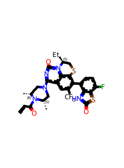 C=CC(=O)N1[C@H](C)CN(c2nc(=O)n3c4c(c(-c5ccc(F)c6sc(=O)[nH]c56)c(C(F)(F)F)cc24)SC[C@@H]3CC)C[C@@H]1C